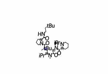 C/C(=C\[C@H](C(C)C)N(C)C(=O)[C@@H](NC(=O)[C@H]1CCCCN1C(C)C)C(C)(C)C)C(=O)N1CCC[C@H]1C(=O)NCCC(C)(C)C